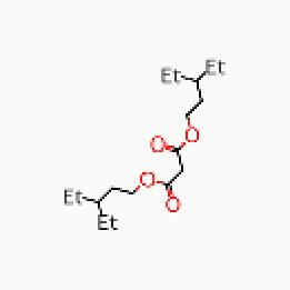 CCC(CC)CCOC(=O)CC(=O)OCCC(CC)CC